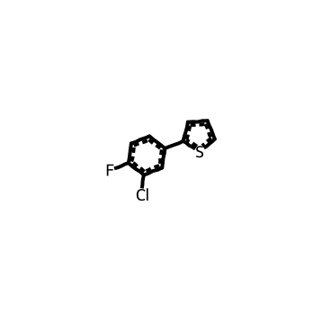 Fc1ccc(-c2cccs2)cc1Cl